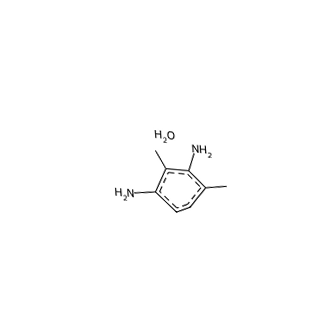 Cc1ccc(N)c(C)c1N.O